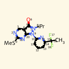 CSc1ncc2c(=O)n(C(C)C)n(-c3cccc(C(C)(F)F)n3)c2n1